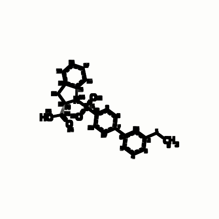 CCc1cccc(-c2ccc(S(=O)(=O)N3c4ccccc4C[C@H]3C(=O)O)cc2)c1